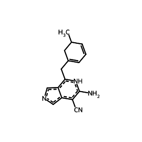 CC1C=CC=C(Cc2[nH]c(N)c(C#N)c3cncc2-3)C1